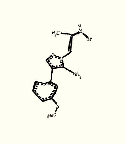 CCN/C(C)=C/n1ncc(-c2cccc(SOC)c2)c1N